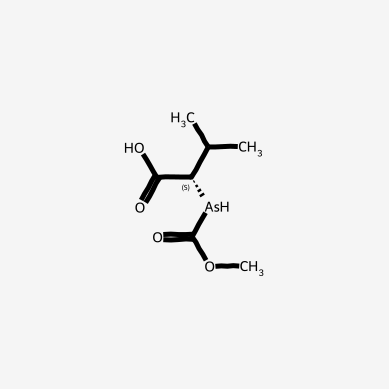 COC(=O)[AsH][C@H](C(=O)O)C(C)C